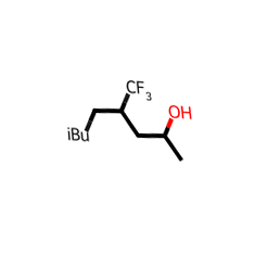 CCC(C)CC(CC(C)O)C(F)(F)F